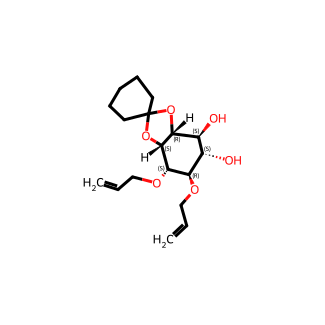 C=CCO[C@@H]1[C@@H]2OC3(CCCCC3)O[C@@H]2[C@@H](O)[C@H](O)[C@H]1OCC=C